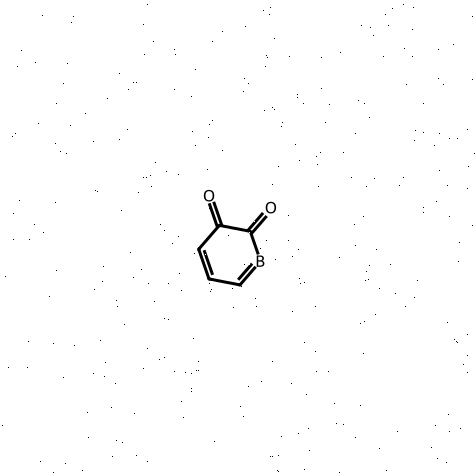 O=C1B=CC=CC1=O